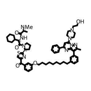 CN[C@@H](C)C(=O)N[C@H](C(=O)N1CCC[C@H]1c1nc(C(=O)c2cccc(OCCCCCCCCCc3cccc(-c4c(C)nn5c(N6CCN(CCO)CC6)cc(-c6ccccc6)nc45)c3)c2)cs1)C1CCCCC1